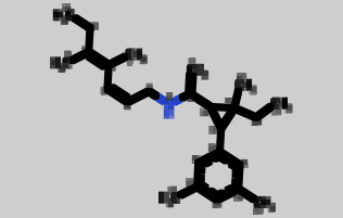 C=C(NC/C=C\C(C)=C(/C)CC)C1C(c2cc(C)cc(C)c2)C1(C)CC